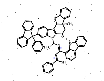 CC1CC2(C)c3ccccc3SC2c2c1n(C(C)/N=C(\C=C(/N)c1ccccc1)c1cccc3c1sc1ccccc13)c1cc(C3(c4ccccc4)c4ccccc4-c4ccccc43)ccc21